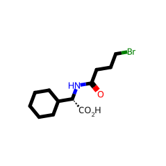 O=C(CCCBr)N[C@H](C(=O)O)C1CCCCC1